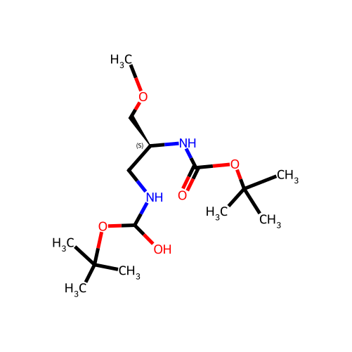 COC[C@H](CNC(O)OC(C)(C)C)NC(=O)OC(C)(C)C